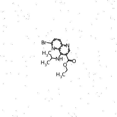 CCOC(=O)c1cnc2ccc(Br)nc2c1NC(C)C